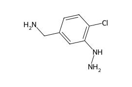 NCc1ccc(Cl)c(NN)c1